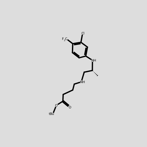 C[C@H](CNCCCC(=O)OC(C)(C)C)Nc1ccc(C(F)(F)F)c(Cl)c1